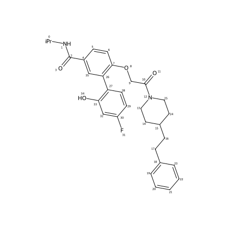 CC(C)NC(=O)c1ccc(OCC(=O)N2CCC(CCc3ccccc3)CC2)c(-c2ccc(F)cc2O)c1